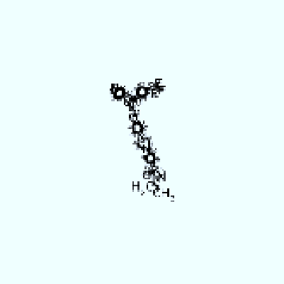 CCC(C)n1ncn(-c2ccc(N3CCN(c4ccc(OC[C@@H]5CO[C@](Cc6ccnnc6)(c6ccc(OC(F)(F)F)cc6)O5)cc4)CC3)cc2)c1=O